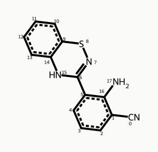 N#Cc1cccc(C2=NSc3ccccc3N2)c1N